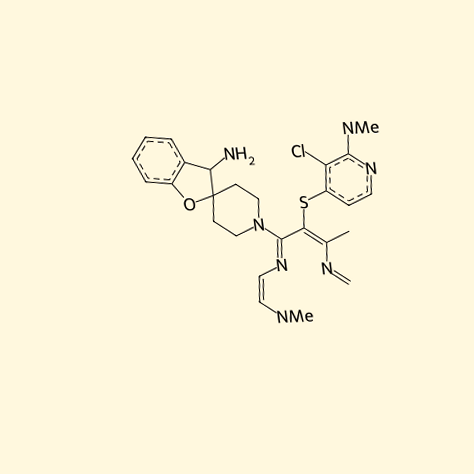 C=N\C(C)=C(Sc1ccnc(NC)c1Cl)/C(=N/C=C\NC)N1CCC2(CC1)Oc1ccccc1C2N